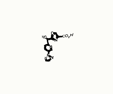 O=C(O)c1coc(C(O)c2ccc(-n3nccn3)cn2)n1